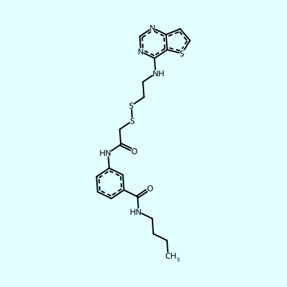 CCCCNC(=O)c1cccc(NC(=O)CSSCCNc2ncnc3ccsc23)c1